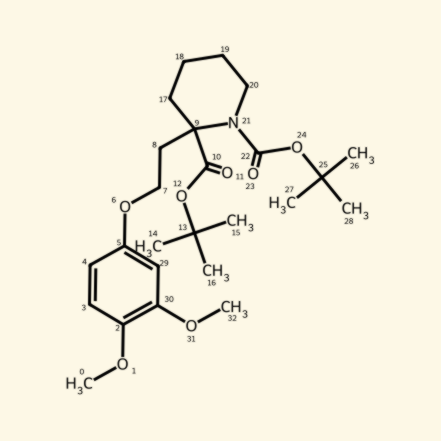 COc1ccc(OCCC2(C(=O)OC(C)(C)C)CCCCN2C(=O)OC(C)(C)C)cc1OC